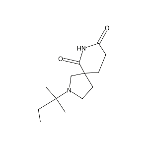 CCC(C)(C)N1CCC2(CCC(=O)NC2=O)C1